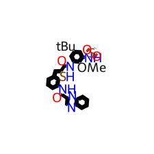 COc1c(NC(=O)c2cc3cccc(NC(=O)c4cnc5ccccc5n4)c3s2)cc(C(C)(C)C)cc1NS(C)(=O)=O